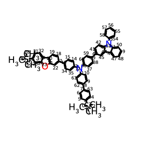 C[Si](C)(C)c1ccc(-c2ccc(N(c3ccc(-c4ccc5c(c4)oc4cc([Si](C)(C)C)ccc45)cc3)c3ccc(-c4ccc5c(c4)c4ccccc4n5-c4ccccc4)cc3)cc2)cc1